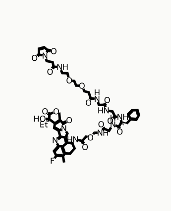 CC[C@@]1(O)C(=O)OCc2c1cc1n(c2=O)Cc2c-1nc1cc(F)c(C)c3c1c2[C@@H](NC(=O)COCNC(=O)CNC(=O)[C@H](Cc1ccccc1)NC(=O)CNC(=O)CNC(=O)CCOCCOCCNC(=O)CCN1C(=O)C=CC1=O)CC3